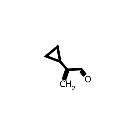 C=C(C=O)C1CC1